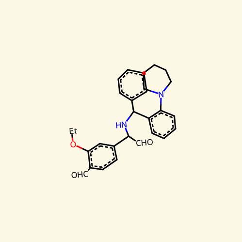 CCOc1cc(C(C=O)NC(c2ccccc2)c2ccccc2N2CCCCC2)ccc1C=O